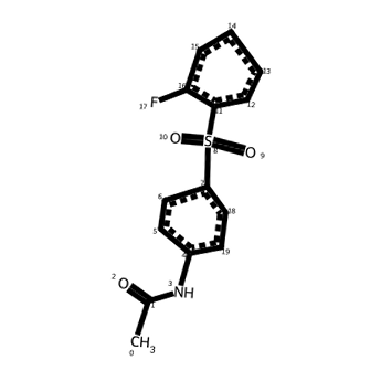 CC(=O)Nc1ccc(S(=O)(=O)c2ccccc2F)cc1